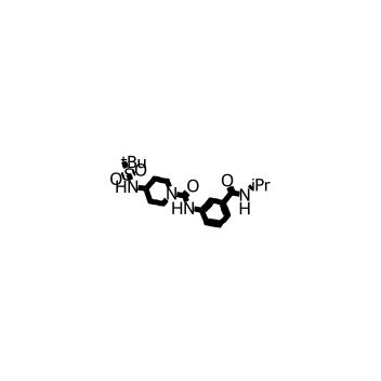 CC(C)NC(=O)c1cccc(NC(=O)N2CCC(NS(=O)(=O)C(C)(C)C)CC2)c1